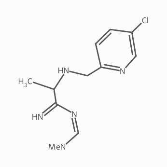 CN/C=N\C(=N)C(C)NCc1ccc(Cl)cn1